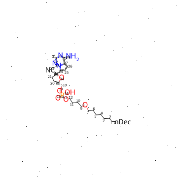 CCCCCCCCCCCCCCCCCOCCCCOP(=O)(O)OC[C@@H]1CC[C@](C#N)(c2ccc3c(N)ncnn23)O1